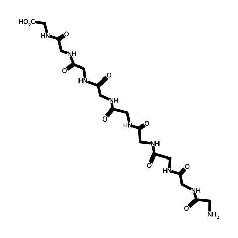 NCC(=O)NCC(=O)NCC(=O)NCC(=O)NCC(=O)NCC(=O)NCC(=O)NCC(=O)NCC(=O)O